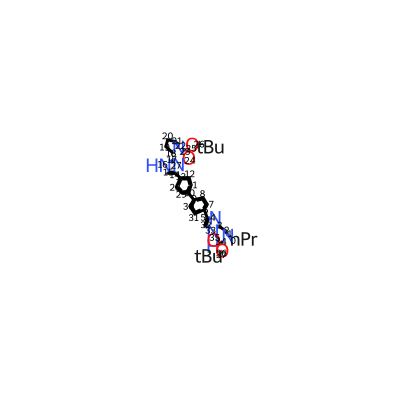 CCCN(Cc1nc(-c2ccc(-c3ccc(-c4c[nH]c([C@@H]5CCCN5C(=O)OC(C)(C)C)n4)cc3)cc2)c[nH]1)C(=O)OC(C)(C)C